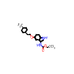 O=C(Nc1c[nH]c2ccc(OCCc3ccc(C(F)(F)F)cc3)cc12)OCC(Cl)(Cl)Cl